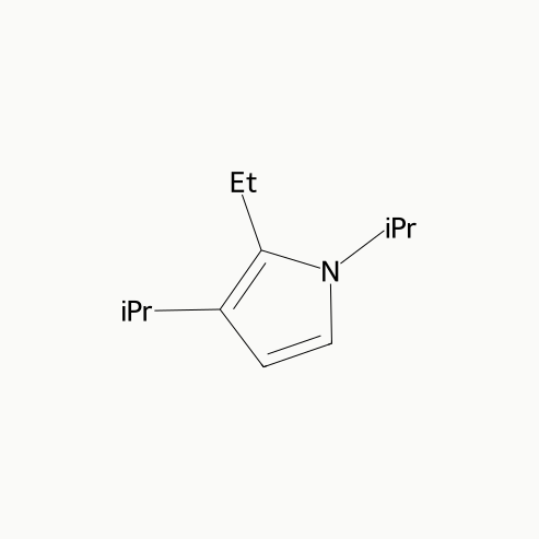 CCc1c(C(C)C)ccn1C(C)C